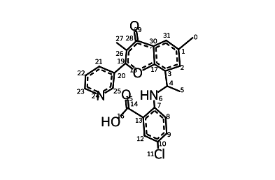 Cc1cc(C(C)Nc2ccc(Cl)cc2C(=O)O)c2oc(-c3cccnc3)c(C)c(=O)c2c1